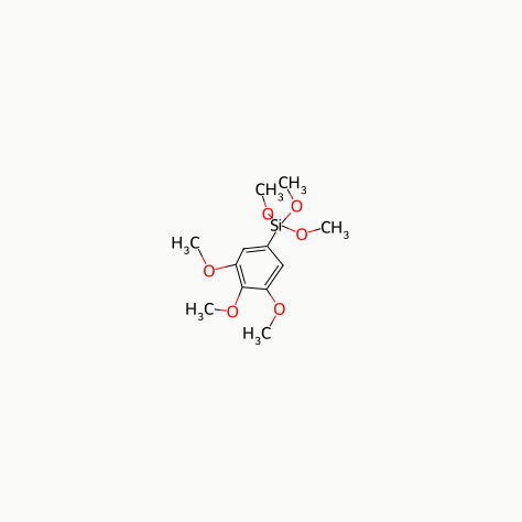 COc1cc([Si](OC)(OC)OC)cc(OC)c1OC